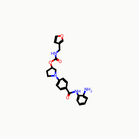 Nc1ccccc1NC(=O)c1ccc(N2CCC(OC(=O)NCc3ccoc3)C2)cc1